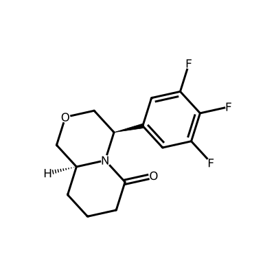 O=C1CCC[C@H]2COC[C@@H](c3cc(F)c(F)c(F)c3)N12